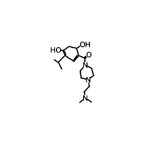 CC(C)C1=C(O)CC(O)C(C(=O)N2CCN(CCN(C)C)CC2)=C1